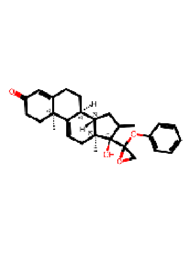 CC1C[C@H]2[C@@H]3CCC4=CC(=O)CC[C@]4(C)C3=CC[C@]2(C)[C@@]1(O)C1(Oc2ccccc2)CO1